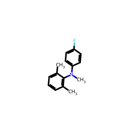 Cc1cccc(C)c1N(C)c1ccc(F)cc1